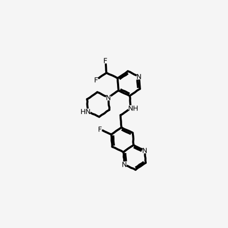 Fc1cc2nccnc2cc1CNc1cncc(C(F)F)c1N1CCNCC1